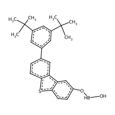 CC(C)(C)c1cc(-c2ccc3sc4ccc(OBO)cc4c3c2)cc(C(C)(C)C)c1